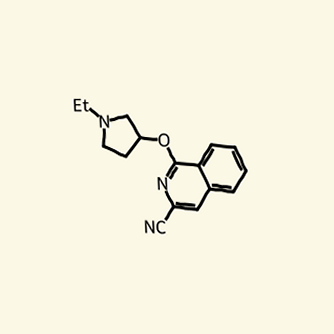 CCN1CCC(Oc2nc(C#N)cc3ccccc23)C1